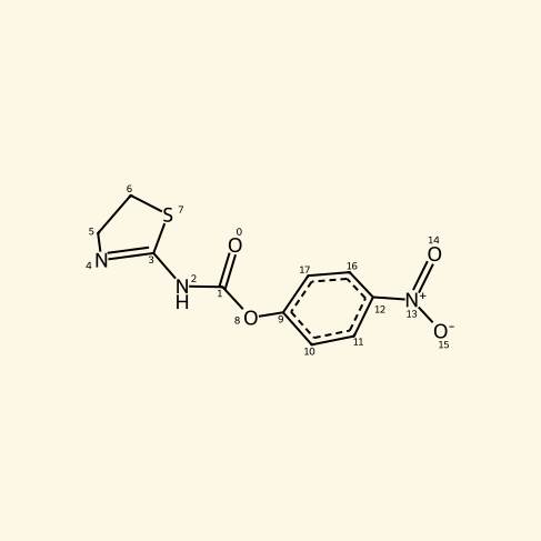 O=C(NC1=NCCS1)Oc1ccc([N+](=O)[O-])cc1